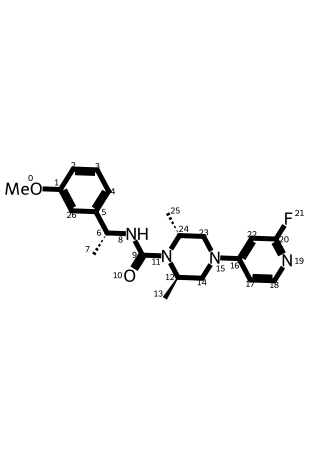 COc1cccc([C@@H](C)NC(=O)N2[C@H](C)CN(c3ccnc(F)c3)C[C@H]2C)c1